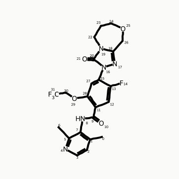 Cc1ccnc(C)c1NC(=O)c1cc(F)c(-n2nc3n(c2=O)CCCOC3)cc1OCC(F)(F)F